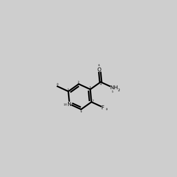 Cc1cc(C(N)=O)c(F)cn1